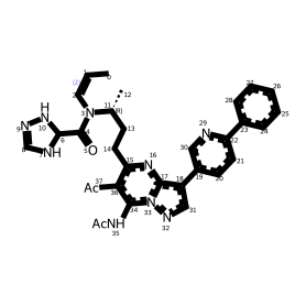 C/C=C\N(C(=O)C1NC=NN1)[C@H](C)CCc1nc2c(-c3ccc(-c4ccccc4)nc3)cnn2c(NC(C)=O)c1C(C)=O